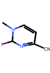 CN1C=CC(C#N)=NC1I